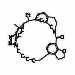 CCC1c2ccc3c(c2)CN(CC3)C(=O)c2ccc(c3c2OCC3)CCCCCn2nnc3c(C)c1ccc32